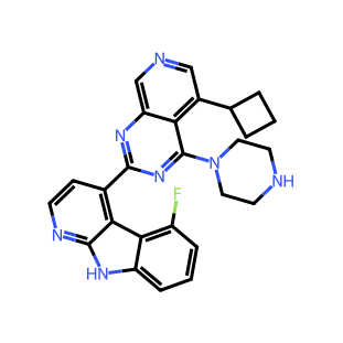 Fc1cccc2[nH]c3nccc(-c4nc(N5CCNCC5)c5c(C6CCC6)cncc5n4)c3c12